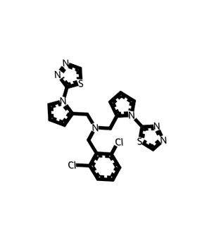 Clc1cccc(Cl)c1CN(Cc1cccn1-c1nncs1)Cc1cccn1-c1nncs1